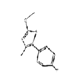 COc1nc(C)c(-c2ccc(F)cc2)s1